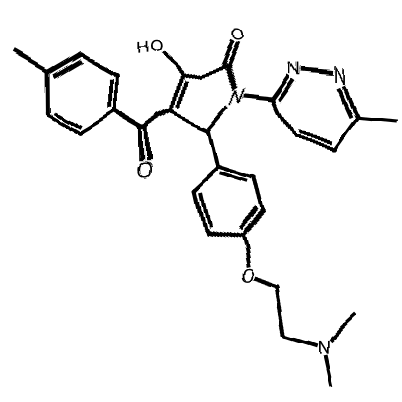 Cc1ccc(C(=O)C2=C(O)C(=O)N(c3ccc(C)nn3)C2c2ccc(OCCN(C)C)cc2)cc1